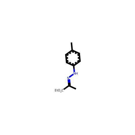 CCOC(=O)C(C)=NNc1ccc(C)cc1